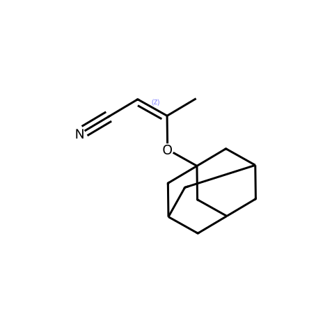 C/C(=C/C#N)OC12CC3CC(CC(C3)C1)C2